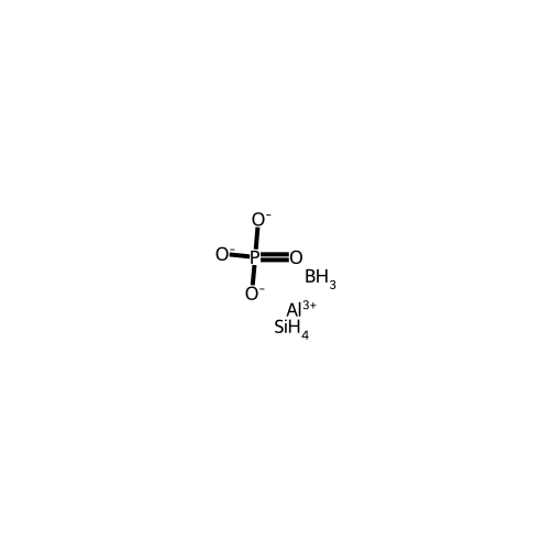 B.O=P([O-])([O-])[O-].[Al+3].[SiH4]